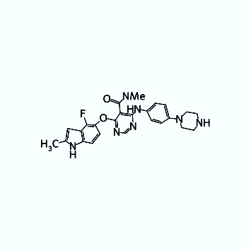 CNC(=O)c1c(Nc2ccc(N3CCNCC3)cc2)ncnc1Oc1ccc2[nH]c(C)cc2c1F